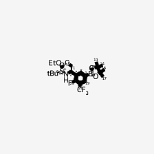 CCOC(=O)C[C@H](N[S@+]([O-])C(C)(C)C)c1cc(B2OC(C)(C)C(C)(C)O2)cc(C(F)(F)F)c1F